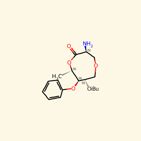 CC(C)CO[C@H]1COC[C@H](N)C(=O)O[C@@H](C)[C@@H]1Oc1ccccc1